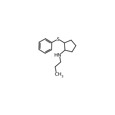 CCCNC1CCCC1Sc1ccccc1